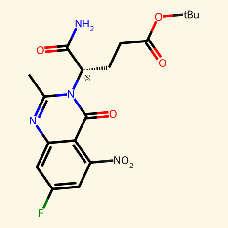 Cc1nc2cc(F)cc([N+](=O)[O-])c2c(=O)n1[C@@H](CCC(=O)OC(C)(C)C)C(N)=O